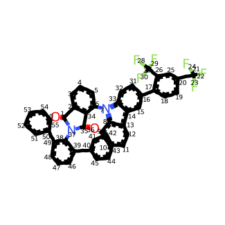 O=C1c2cccc(-n3c4ccccc4c4cc(-c5ccc(C(F)(F)F)cc5C(F)(F)F)ccc43)c2C(=O)N1c1c(-c2ccccc2)cccc1-c1ccccc1